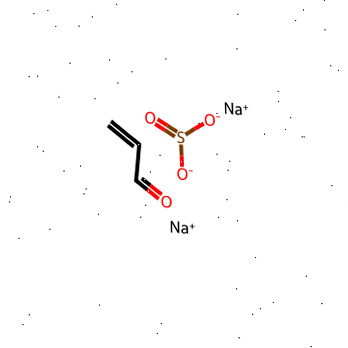 C=CC=O.O=S([O-])[O-].[Na+].[Na+]